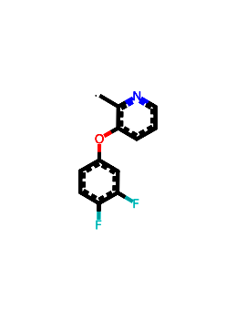 [CH2]c1ncccc1Oc1ccc(F)c(F)c1